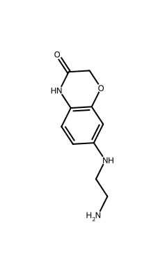 NCCNc1ccc2c(c1)OCC(=O)N2